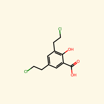 O=C(O)c1cc(CCCl)cc(CCCl)c1O